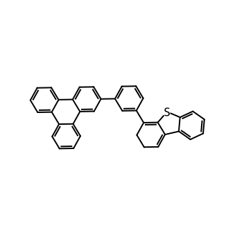 C1=c2c(sc3ccccc23)=C(c2cccc(-c3ccc4c5ccccc5c5ccccc5c4c3)c2)CC1